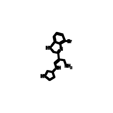 NC/C(=C\NC1CCNC1)C1=Nc2c(Br)cccc2NC1